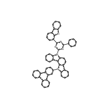 c1ccc(-c2nc(-c3cccc4c3sc3ccccc34)nc(-n3c4ccccc4c4c3ccc3c5ccccc5n(-c5ccc6c7ccccc7c7ccccc7c6c5)c34)n2)cc1